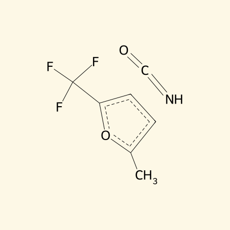 Cc1ccc(C(F)(F)F)o1.N=C=O